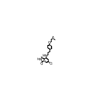 CN(C)CCOc1ccc(CCCNc2cc(Cl)cn3c(=O)[nH]nc23)cc1